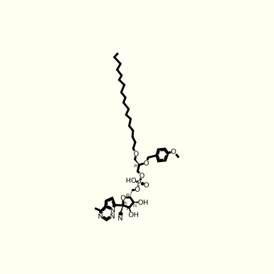 CCCCCCCCCCCCCCCCCCOC[C@H](COP(=O)(O)OC[C@H]1O[C@@](C#N)(c2ccc3c(C)ncnn23)[C@H](O)[C@@H]1O)OCc1ccc(OC)cc1